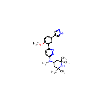 COc1ccc(-c2cn[nH]c2)cc1-c1ccc(N(C)C2CC(C)(C)NC(C)(C)C2)nn1